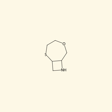 C1CSC2CNC2CO1